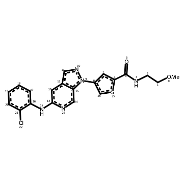 COCCNC(=O)c1cc(-n2ncc3cc(Nc4ccccc4Cl)ncc32)cs1